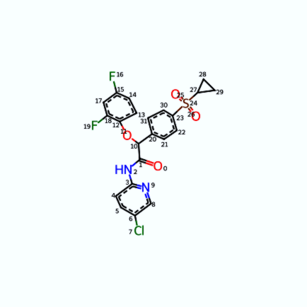 O=C(Nc1ccc(Cl)cn1)C(Oc1ccc(F)cc1F)c1ccc(S(=O)(=O)C2CC2)cc1